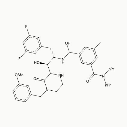 CCCN(CCC)C(=O)c1cc(C)cc(C(O)N[C@@H](Cc2cc(F)cc(F)c2)[C@H](O)C2NCCN(Cc3cccc(OC)c3)C2=O)c1